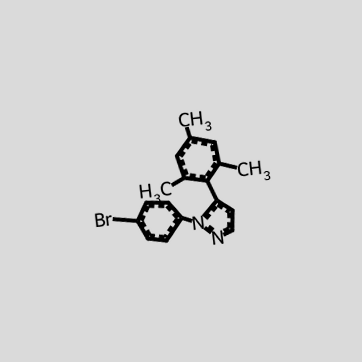 Cc1cc(C)c(-c2ccnn2-c2ccc(Br)cc2)c(C)c1